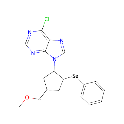 CO[CH]C1CC([Se]c2ccccc2)C(n2cnc3c(Cl)ncnc32)C1